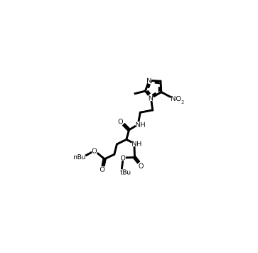 CCCCOC(=O)CCC(NC(=O)OC(C)(C)C)C(=O)NCCn1c([N+](=O)[O-])cnc1C